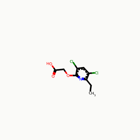 CCc1nc(OCC(=O)O)c(Cl)cc1Cl